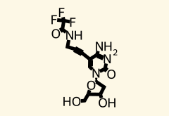 Nc1nc(=O)n([C@H]2CC(O)C(CO)O2)cc1C#CCNC(=O)C(F)(F)F